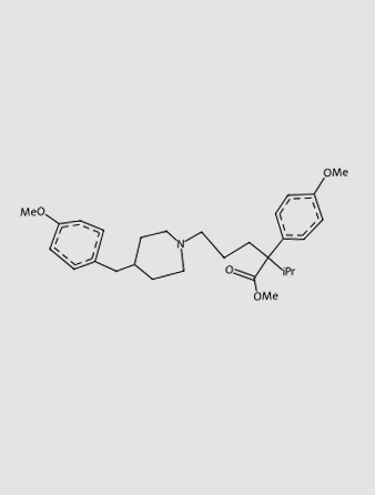 COC(=O)C(CCCN1CCC(Cc2ccc(OC)cc2)CC1)(c1ccc(OC)cc1)C(C)C